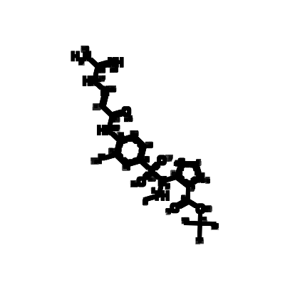 CPN(c1scnc1C(=O)OC(C)(C)C)S(=O)(=O)c1ccc(NC(=O)/C=N/NC(=N)N)c(F)c1